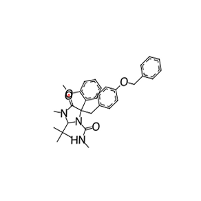 CNC(=O)N1C(C(C)(C)C)N(C)C(=O)C1(Cc1ccc(OCc2ccccc2)cc1)c1ccccc1OC